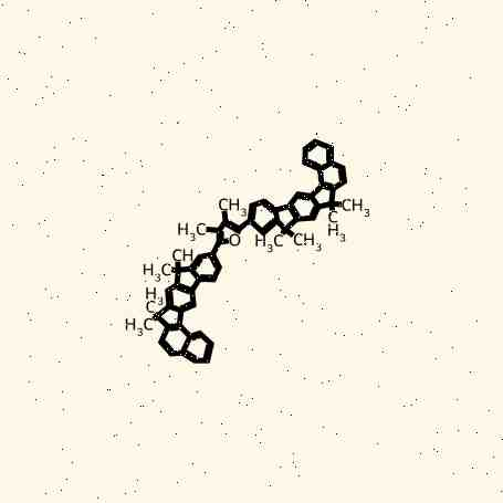 Cc1c(-c2ccc3c(c2)C(C)(C)c2cc4c(cc2-3)-c2c(ccc3ccccc23)C4(C)C)oc(-c2ccc3c(c2)C(C)(C)c2cc4c(cc2-3)-c2c(ccc3ccccc23)C4(C)C)c1C